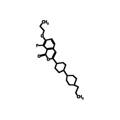 CCCOc1ccc2cc(C3CCC(C4CCC(CCC)CC4)CC3)oc(=O)c2c1F